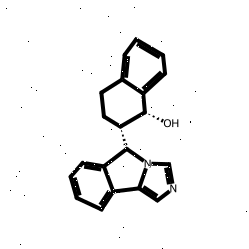 O[C@H]1c2ccccc2CC[C@H]1C1c2ccccc2-c2cncn21